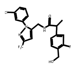 CC(C(=O)NCc1cc(C(F)(F)F)nn1-c1cccc(Cl)c1)c1ccc(CO)c(F)c1